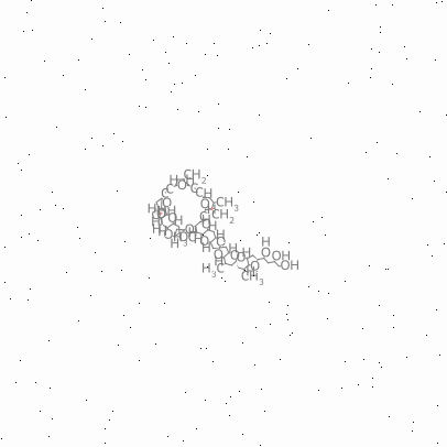 C=C1C[C@@H]2CCC34C[C@@H]5O[C@H]6[C@@H](O3)[C@H]3O[C@H](CC[C@@H]3O[C@H]6[C@@H]5O4)CC(=O)O[C@@H]3[C@@H](C)[C@@H]4O[C@@H]5C[C@]6(C[C@@H]7O[C@]8(C[C@H](C)[C@@H]9O[C@H]([C@@H](O)C[C@@H](O)CO)C[C@@H]9O8)C[C@H](C)[C@@H]7O6)O[C@@H]5C[C@@H]4O[C@H]3C[C@H]3O[C@@H](CC[C@@H]1O2)C[C@@H](C)C3=C